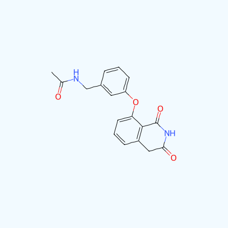 CC(=O)NCc1cccc(Oc2cccc3c2C(=O)NC(=O)C3)c1